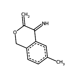 C=C1OCc2ccc(C)cc2C1=N